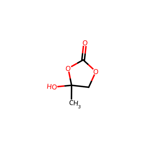 CC1(O)COC(=O)O1